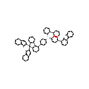 c1ccc(-c2ccccc2N(c2ccc(-c3cccc4c3-c3ccccc3C43c4ccc5ccccc5c4Oc4c3ccc3ccccc43)cc2)c2ccc(-c3cccc4c3oc3ccccc34)cc2)cc1